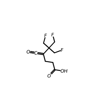 O=C=C(CCC(=O)O)C(CF)(CF)CF